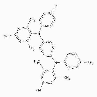 Cc1ccc(N(c2ccc(N(c3ccc(Br)cc3)c3c(C)cc(C(C)(C)C)cc3C)cc2)c2c(C)cc(C(C)(C)C)cc2C)cc1